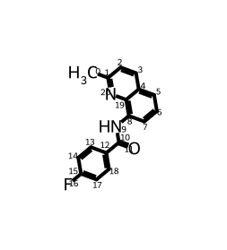 Cc1ccc2cccc(NC(=O)c3ccc(F)cc3)c2n1